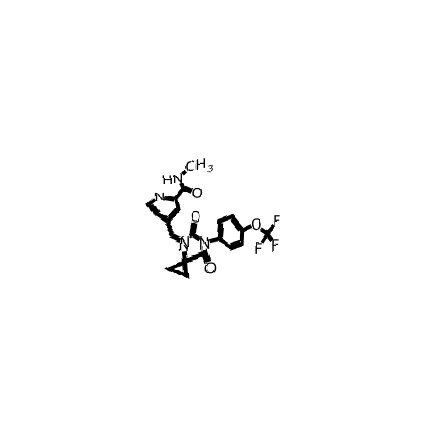 CNC(=O)c1cc(CN2C(=O)N(c3ccc(OC(F)(F)F)cc3)C(=O)C23CC3)ccn1